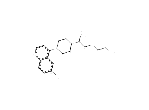 COCCOCC(N)[C@H]1CC[C@@H](c2ccnc3ccc(F)cc32)CC1